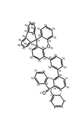 O=P(C1=CC=CCC1)(c1ccccc1)c1cccc(-c2cccc(-c3cccc4c3Oc3ccccc3C43c4ccccc4-c4ccccc43)c2)c1